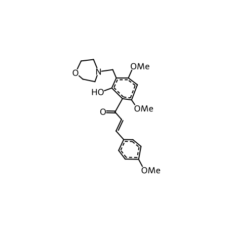 COc1ccc(/C=C/C(=O)c2c(OC)cc(OC)c(CN3CCOCC3)c2O)cc1